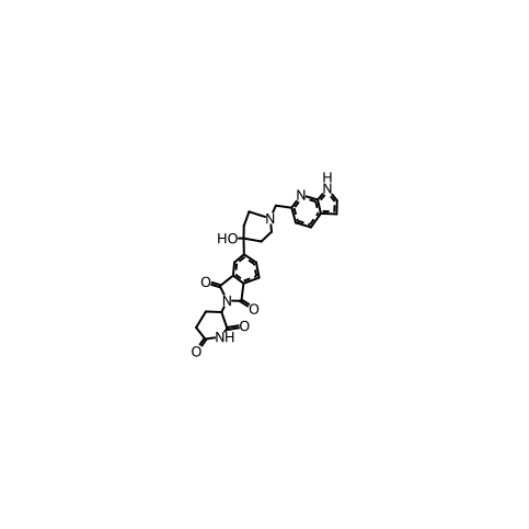 O=C1CCC(N2C(=O)c3ccc(C4(O)CCN(Cc5ccc6cc[nH]c6n5)CC4)cc3C2=O)C(=O)N1